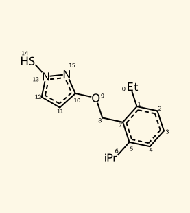 CCc1cccc(C(C)C)c1COc1ccn(S)n1